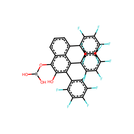 OB(O)Oc1c(O)c(-c2c(F)c(F)c(F)c(F)c2F)c(-c2c(F)c(F)c(F)c(F)c2F)c2c(-c3c(F)c(F)c(F)c(F)c3F)cccc12